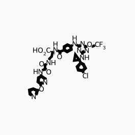 O=C(NCC[C@H](NC(=O)c1ccc(Nc2nc(NC3(c4ccc(Cl)cc4)CC3)nc(OCC(F)(F)F)n2)cc1)C(=O)O)C(=O)Nc1ccc(Oc2cccnc2)nc1